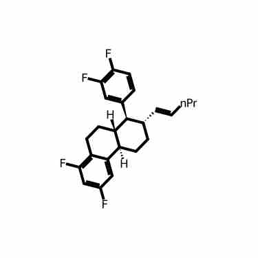 CCC/C=C/[C@@H]1CC[C@H]2c3cc(F)cc(F)c3CC[C@@H]2[C@H]1c1ccc(F)c(F)c1